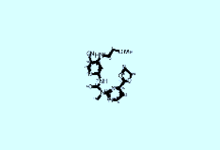 COCCNc1cc(NC(=O)N(C)c2nccc(C3OCCO3)n2)ncc1C#N